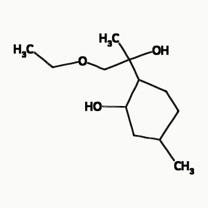 CCOCC(C)(O)C1CCC(C)CC1O